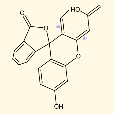 C=C(O)/C=C1/Oc2cc(O)ccc2C2(OC(=O)c3ccccc32)/C1=C/C